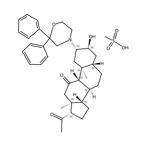 CC(=O)[C@H]1CC[C@H]2[C@@H]3CC[C@H]4C[C@H](O)[C@@H](N5CCOC(c6ccccc6)(c6ccccc6)C5)C[C@]4(C)[C@H]3C(=O)C[C@]12C.CS(=O)(=O)O